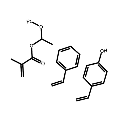 C=C(C)C(=O)OC(C)OCC.C=Cc1ccc(O)cc1.C=Cc1ccccc1